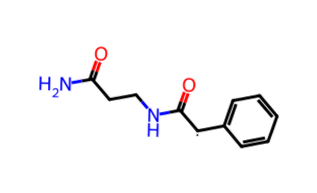 NC(=O)CCNC(=O)[CH]c1ccccc1